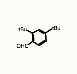 CC(C)(C)c1ccc(C=O)c(C(C)(C)C)c1